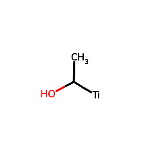 C[CH](O)[Ti]